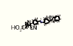 N#Cc1c(-c2ccc(/C=C/c3ccc(-c4nc5ccccc5[nH]4)cc3)cc2)nnn1CC(=O)O